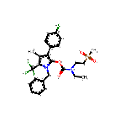 CCN(CCS(C)(=O)=O)C(=O)Oc1c(-c2ccc(Cl)cc2)c(C)c(C(F)(F)F)n1Cc1ccccc1